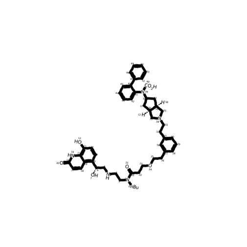 CCCCN(CCNC[C@H](O)c1ccc(O)c2[nH]c(=O)ccc12)C(=O)CCOCCc1cccc(CCN2C[C@H]3CC(N(C(=O)O)c4ccccc4-c4ccccc4)C[C@H]3C2)c1